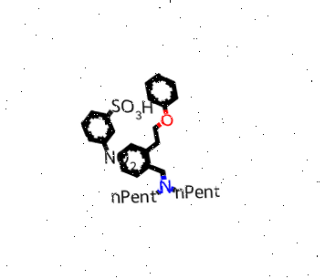 CCCCCN(CCCCC)Cc1ccccc1CCOc1ccccc1.O=[N+]([O-])c1cccc(S(=O)(=O)O)c1